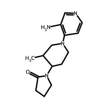 CC1CN(c2ccncc2N)CCC1N1CCCC1=O